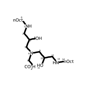 CCCCCCCCNCC(O)CN(CC(=O)O)CC(O)CNCCCCCCCC